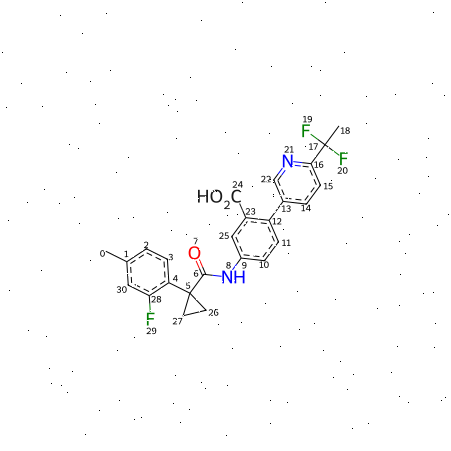 Cc1ccc(C2(C(=O)Nc3ccc(-c4ccc(C(C)(F)F)nc4)c(C(=O)O)c3)CC2)c(F)c1